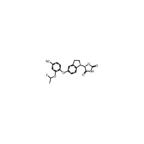 N#Cc1ccc(Oc2ccc3c(c2)CC[C@H]3[C@H]2OC(=O)NC2=O)c(OC(F)F)c1